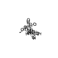 C#CCOC(C)(C)C(=O)OCN(C(=O)C(CCc1ccccc1)NC(=O)CN1CCOCC1)C(CC(C)C)C(=O)NC(Cc1ccccc1)C(=O)NC(CC(C)C)C(=O)C1(C)CO1